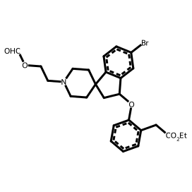 CCOC(=O)Cc1ccccc1OC1CC2(CCN(CCOC=O)CC2)c2ccc(Br)cc21